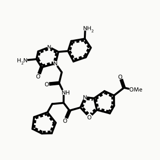 COC(=O)c1ccc2oc(C(=O)C(Cc3ccccc3)NC(=O)Cn3c(-c4cccc(N)c4)ncc(N)c3=O)nc2c1